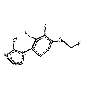 FCOc1ccc(-n2ccnc2Cl)c(F)c1F